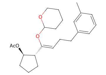 CC(=O)O[C@@H]1CCC[C@H]1C(=CCCc1cccc(C)c1)OC1CCCCO1